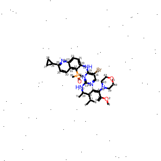 C=C(OC)/C(=C\C(C(C)C)C(C)Nc1ncc(Br)c(Nc2ccc3nc(C4CC4)ccc3c2P(C)(C)=O)n1)N1CCOCC1